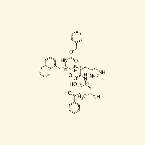 CC(C)C[C@H](NC(=O)[C@H](Cc1c[nH]cn1)NC(=O)[C@H](Cc1cccc2ccccc12)NC(=O)OCc1ccccc1)[C@@H](O)CC(=O)c1ccccc1